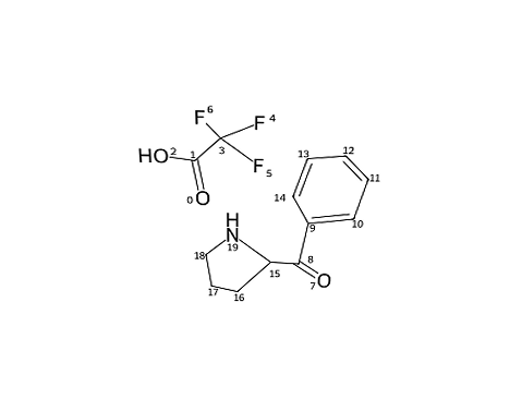 O=C(O)C(F)(F)F.O=C(c1ccccc1)C1CCCN1